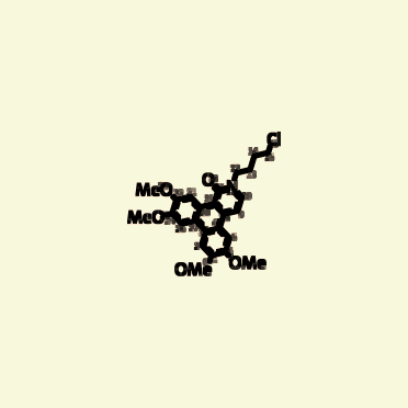 COc1cc2c(cc1OC)c1ccn(CCCCCl)c(=O)c1c1cc(OC)c(OC)cc21